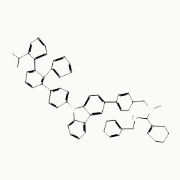 CC(C)c1ccccc1-c1cccc(-c2ccc(-n3c4ccccc4c4cc(C5=CCC(CN(C)C(NCC6=CCCC=C6)C6=CCCCC6)C=C5)ccc43)cc2)c1-c1ccccc1